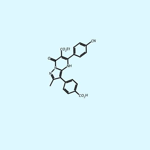 CCOC(=O)c1c(-c2ccc(C#N)cc2)[nH]c2c(-c3ccc(C(=O)O)cc3)c(C)nn2c1=O